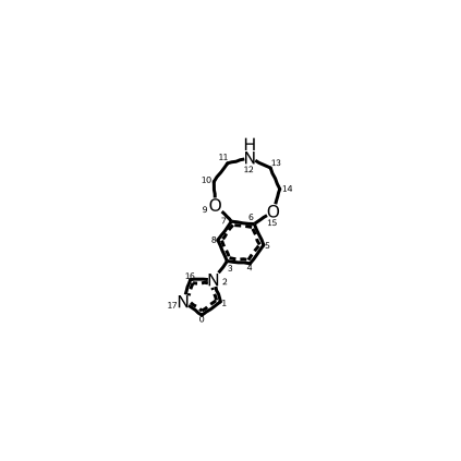 c1cn(-c2ccc3c(c2)OCCNCCO3)cn1